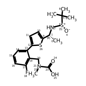 C[C@@H](N[S@+]([O-])C(C)(C)C)c1ccc(-c2cccc(F)c2CN(C)C(=O)O)s1